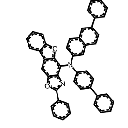 c1ccc(-c2ccc(N(c3ccc4cc(-c5ccccc5)ccc4c3)c3c4nc(-c5ccccc5)oc4cc4c3oc3ccccc34)cc2)cc1